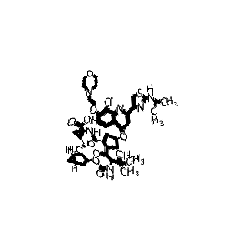 CC[C@@H]1C[C@]1(NC(=O)[C@@H]1C[C@@H](Oc2cc(-c3csc(NC(C)C)n3)nc3c(Cl)c(OCCN4CCOCC4)ccc23)CC1C(=O)[C@@H](NC(=O)O[C@@H]1C[C@@H]2C[C@@H]2C1)C(C)(C)C)C(=O)O